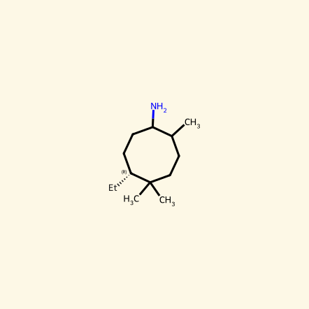 CC[C@@H]1CCC(N)C(C)CCC1(C)C